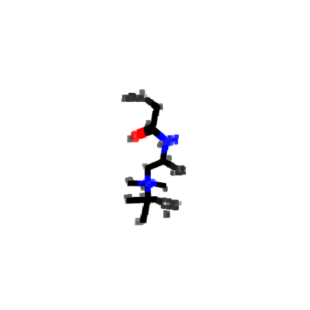 CCCCCCCCCCCC(=O)NC(CC)C[N+](C)(C)C(C)(C)C(=O)[O-]